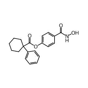 O=C(NO)c1ccc(OC(=O)C2(c3ccccc3)CCCCC2)cc1